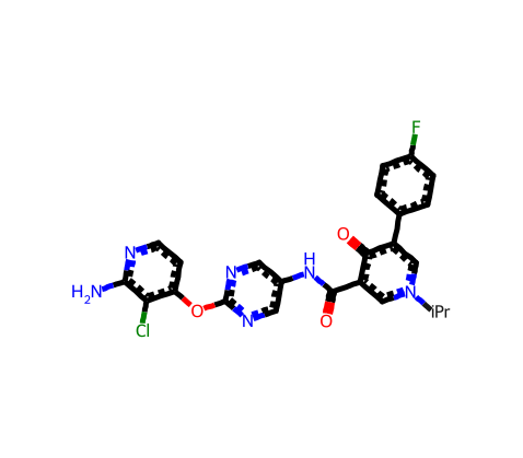 CC(C)n1cc(C(=O)Nc2cnc(Oc3ccnc(N)c3Cl)nc2)c(=O)c(-c2ccc(F)cc2)c1